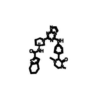 CN1CCN(C)C(c2ccc(Nc3nc(N4CCC[C@H](NC(=O)c5cc6c(s5)CCCC6)C4)nc4nccn34)cc2)C1=O